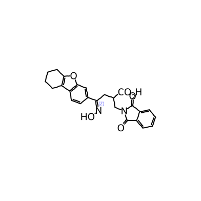 O=C(O)C(C/C(=N/O)c1ccc2c3c(oc2c1)CCCC3)CN1C(=O)c2ccccc2C1=O